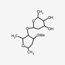 COC1CC(C)OC(C)C1OC1CC(O)C(O)C(C)O1